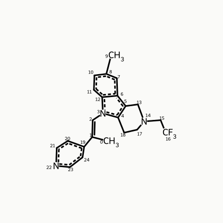 C/C(=C\n1c2c(c3cc(C)ccc31)CN(CC(F)(F)F)CC2)c1ccncc1